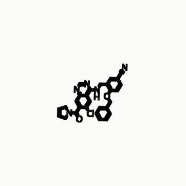 N#Cc1ccc(OCc2ccccc2)c(CNc2ncnc3cc(C(=O)N4CC=CC4)c(Cl)cc23)c1